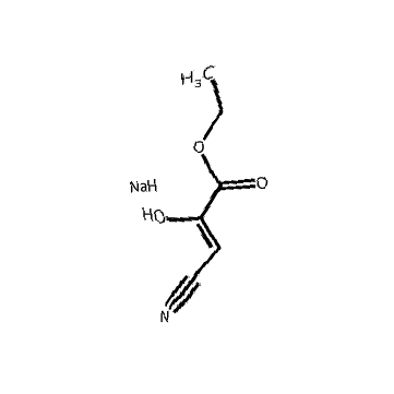 CCOC(=O)C(O)=CC#N.[NaH]